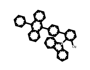 N#Cc1cccc(-c2ccc(-c3c4ccccc4c(-c4ccccc4)c4ccccc34)cc2)c1-n1c2ccccc2c2ccccc21